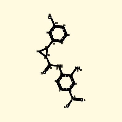 Nc1cc([N+](=O)[O-])ccc1NC(=O)[C@H]1CC1c1cccc(Cl)c1